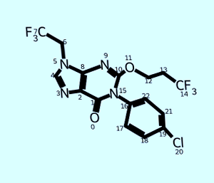 O=c1c2ncn(CC(F)(F)F)c2nc(OCCC(F)(F)F)n1-c1ccc(Cl)cc1